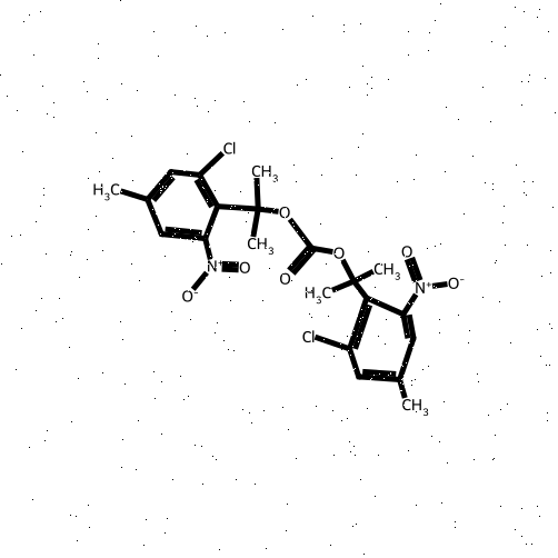 Cc1cc(Cl)c(C(C)(C)OC(=O)OC(C)(C)c2c(Cl)cc(C)cc2[N+](=O)[O-])c([N+](=O)[O-])c1